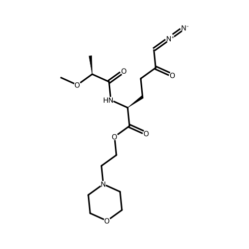 CO[C@@H](C)C(=O)N[C@@H](CCC(=O)C=[N+]=[N-])C(=O)OCCN1CCOCC1